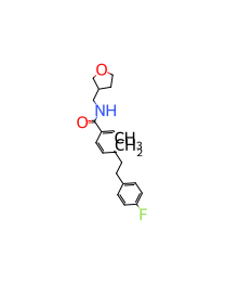 C=C(/C=C\C(=C/C)C(=O)NCC1CCOC1)CCc1ccc(F)cc1